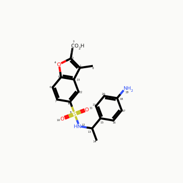 Cc1c(C(=O)O)oc2ccc(S(=O)(=O)NC(C)c3ccc(N)cc3)cc12